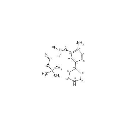 CC(C)(C)OC=O.Nc1ccc(C2CCNCC2)cc1OC(F)F